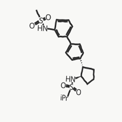 CC(C)S(=O)(=O)N[C@@H]1CCC[C@H]1c1ccc(-c2cccc(NS(C)(=O)=O)c2)cc1